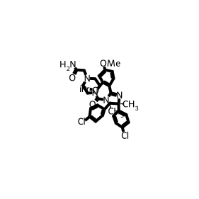 COc1ccc(C2=N[C@@](C)(c3ccc(Cl)cc3)[C@@](C)(c3ccc(Cl)cc3)N2C(=O)N2CCN(CC(N)=O)CC2)c(OC(C)C)c1